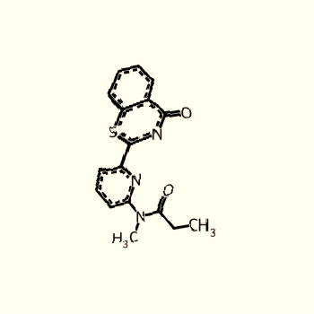 CCC(=O)N(C)c1cccc(-c2nc(=O)c3ccccc3s2)n1